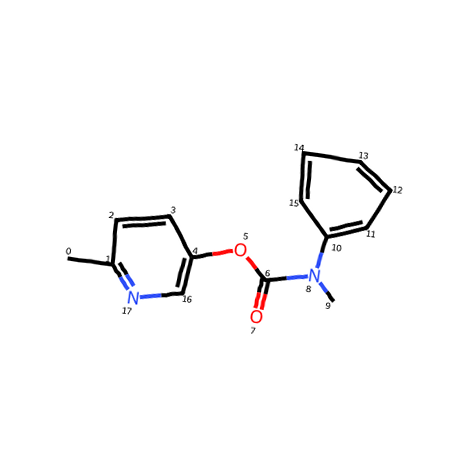 Cc1ccc(OC(=O)N(C)c2ccccc2)cn1